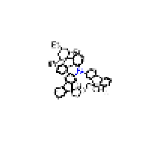 CCC1CC(CC)C2(c3ccccc3-c3c(N(c4ccc5c(c4)C(C)(C)c4ccccc4-5)c4ccc5c(c4)C4(CCCC4)c4ccccc4-5)cccc32)C(C(C)C)C1